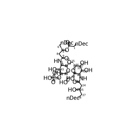 CCCCCCCCCCCC(=O)O[C@H](CCCCCCCCCCC)CC(=O)N[C@@H]1[C@H](OC[C@H]2O[C@H](O)[C@@H](NC(=O)C[C@H](O)CCCCCCCCCCC)[C@@H](O)[C@@H]2O)O[C@H](CO)[C@@H](OP(=O)(O)O)[C@@H]1O